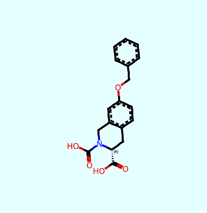 O=C(O)[C@H]1Cc2ccc(OCc3ccccc3)cc2CN1C(=O)O